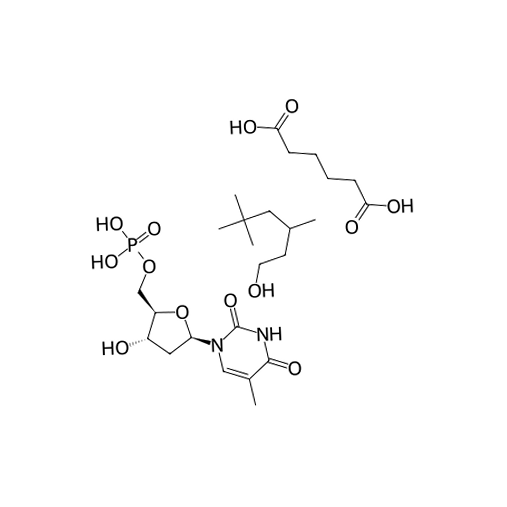 CC(CCO)CC(C)(C)C.Cc1cn([C@H]2C[C@H](O)[C@@H](COP(=O)(O)O)O2)c(=O)[nH]c1=O.O=C(O)CCCCC(=O)O